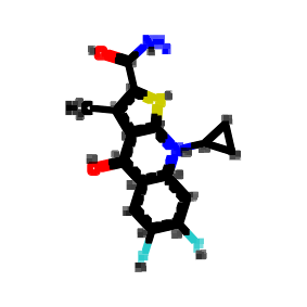 Cc1c(C(N)=O)sc2c1c(=O)c1cc(F)c(F)cc1n2C1CC1